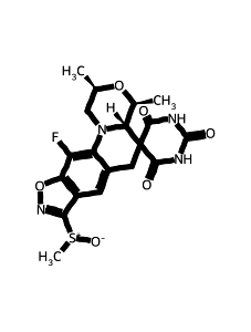 C[C@@H]1CN2c3c(cc4c([S+](C)[O-])noc4c3F)CC3(C(=O)NC(=O)NC3=O)[C@H]2[C@H](C)O1